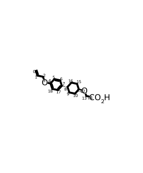 C=CCOc1ccc([C@H]2CC[C@H](OCC(=O)O)CC2)cc1